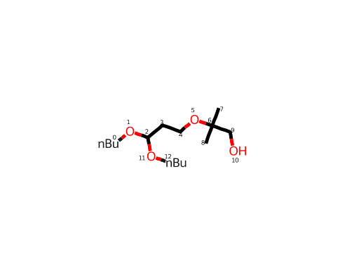 CCCCOC(CCOC(C)(C)CO)OCCCC